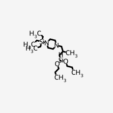 CCCO[SiH](CC(C)CN1CCN([Si](CC)(CC)CC)CC1)OCCC